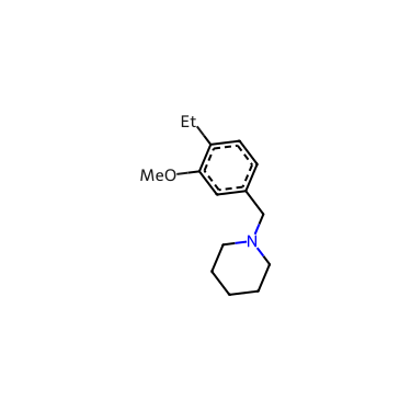 CCc1ccc(CN2CCCCC2)cc1OC